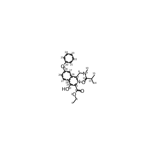 CCOC(=O)c1nc(CN(C)C(=O)C(C)C)c2cc(Oc3ccccc3)ccc2c1O